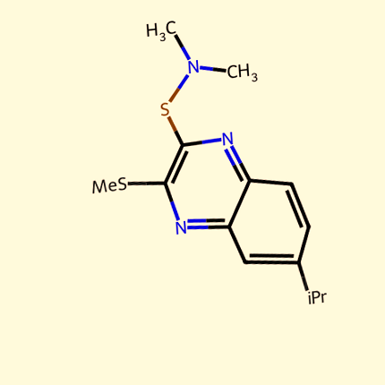 CSc1nc2cc(C(C)C)ccc2nc1SN(C)C